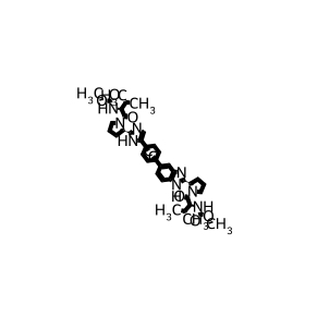 COC(=O)N[C@H](C(=O)N1CCC[C@H]1c1ncc(C23CCC(c4ccc5[nH]c([C@@H]6CCCN6C(=O)[C@@H](NC(=O)OC)C(C)C)nc5c4)(CC2)CC3)[nH]1)C(C)C